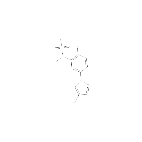 Cc1cnn(-c2ccc(N)c(N(C)S(C)(=O)=O)c2)c1